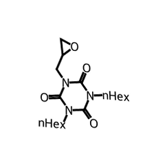 CCCCCCn1c(=O)n(CCCCCC)c(=O)n(CC2CO2)c1=O